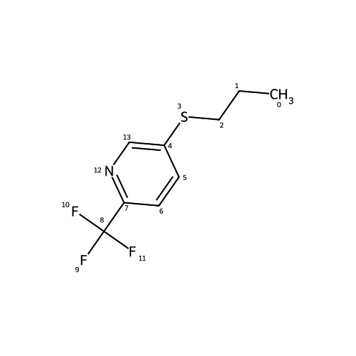 CCCSc1ccc(C(F)(F)F)nc1